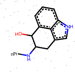 CCCNC1Cc2c[nH]c3cccc(c23)C1O